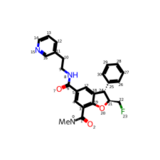 CNC(=O)c1cc(C(=O)NCCc2cccnc2)cc2c1O[C@H](CF)[C@H]2c1ccccc1